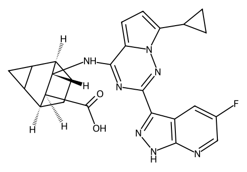 O=C(O)[C@@H]1[C@@H](Nc2nc(-c3n[nH]c4ncc(F)cc34)nn3c(C4CC4)ccc23)[C@@H]2CC[C@H]1C1CC12